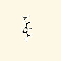 C=C(OC(C)=O)c1ncc(C(=O)OC)n1C